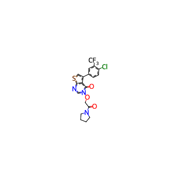 O=C(COn1cnc2scc(-c3ccc(Cl)c(C(F)(F)F)c3)c2c1=O)N1CCCC1